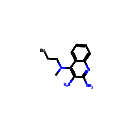 CCC(C)CCN(C)c1c(N)c(N)nc2ccccc12